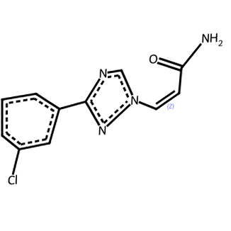 NC(=O)/C=C\n1cnc(-c2cccc(Cl)c2)n1